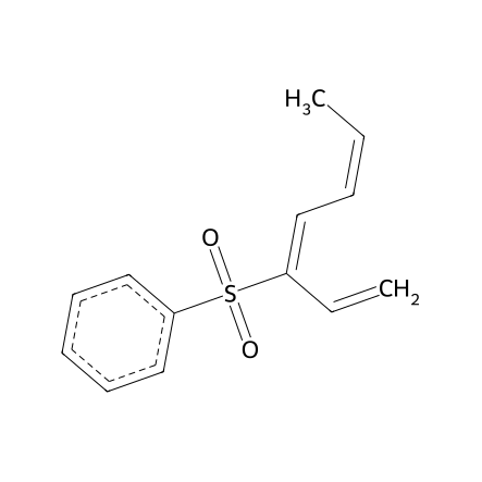 C=C/C(=C\C=C/C)S(=O)(=O)c1ccccc1